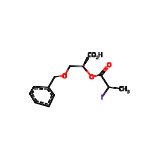 CC(I)C(=O)O[C@@H](COCc1ccccc1)C(=O)O